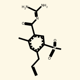 C=CCc1cc(C)c(C(=O)N=C(N)N)cc1S(C)(=O)=O